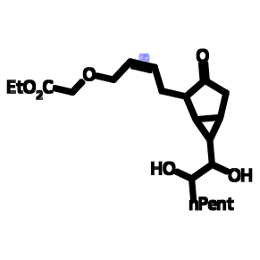 CCCCCC(O)C(O)C1C2CC(=O)C(C/C=C\COCC(=O)OCC)C21